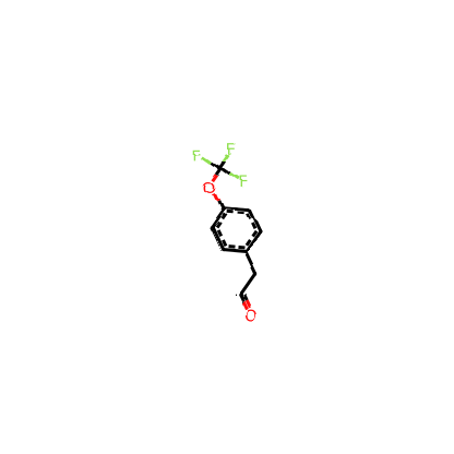 O=[C]Cc1ccc(OC(F)(F)F)cc1